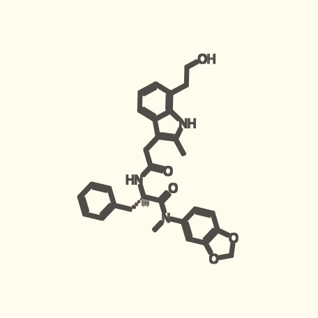 Cc1[nH]c2c(CCO)cccc2c1CC(=O)N[C@@H](Cc1ccccc1)C(=O)N(C)c1ccc2c(c1)OCO2